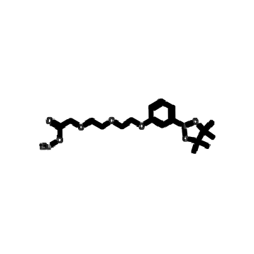 CC(C)(C)OC(=O)COCCOCCOc1cccc(B2OC(C)(C)C(C)(C)O2)c1